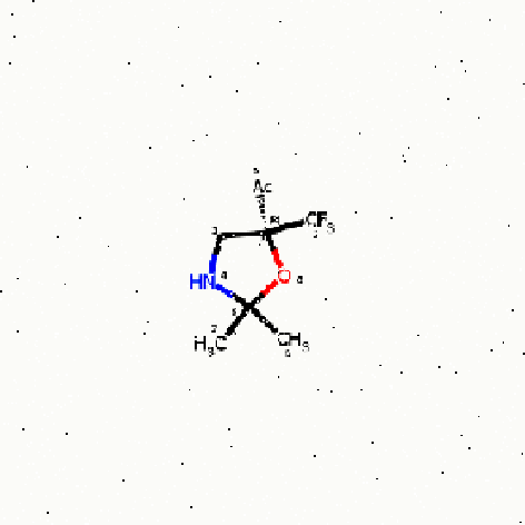 CC(=O)[C@@]1(C(F)(F)F)CNC(C)(C)O1